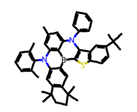 Cc1cc2c3c(c1)N(c1ccccc1)c1c(sc4ccc(C(C)(C)C)cc14)B3c1cc3c(cc1N2c1c(C)cccc1C)C(C)(C)CCC3(C)C